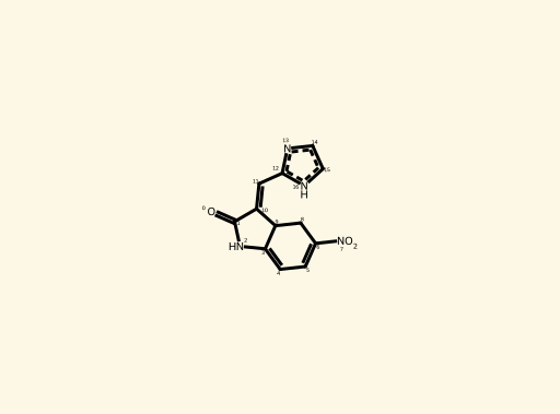 O=C1NC2=CC=C([N+](=O)[O-])CC2C1=Cc1ncc[nH]1